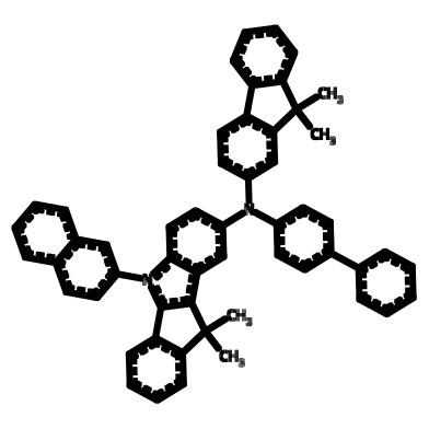 CC1(C)c2ccccc2-c2ccc(N(c3ccc(-c4ccccc4)cc3)c3ccc4c(c3)c3c(n4-c4ccc5ccccc5c4)-c4ccccc4C3(C)C)cc21